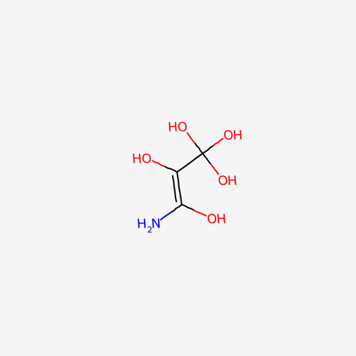 NC(O)=C(O)C(O)(O)O